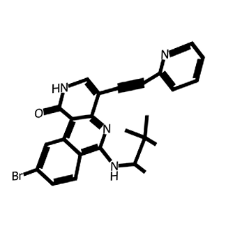 CC(Nc1nc2c(C#Cc3ccccn3)c[nH]c(=O)c2c2cc(Br)ccc12)C(C)(C)C